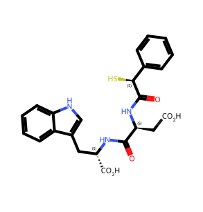 O=C(O)C[C@H](NC(=O)[C@@H](S)c1ccccc1)C(=O)N[C@@H](Cc1c[nH]c2ccccc12)C(=O)O